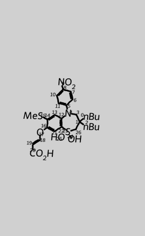 CCCCC1(CCCC)CN(c2ccc([N+](=O)[O-])cc2)c2cc(SC)c(OC=CC(=O)O)cc2S(O)(O)C1